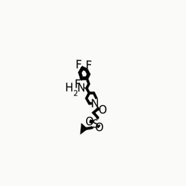 N[C@H](Cc1cc(F)c(F)cc1F)C1CCN(C(=O)CCS(=O)(=O)CC2CC2)CC1